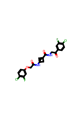 O=C(COc1ccc(Cl)c(F)c1)NC12CC(C(=O)NCC(=O)c3ccc(Cl)c(F)c3)(C1)C2